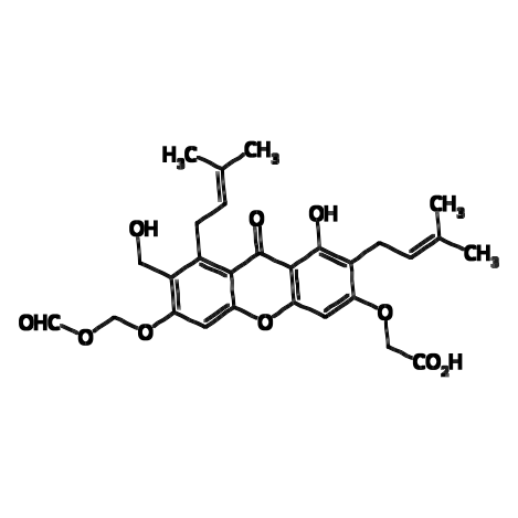 CC(C)=CCc1c(OCC(=O)O)cc2oc3cc(OCOC=O)c(CO)c(CC=C(C)C)c3c(=O)c2c1O